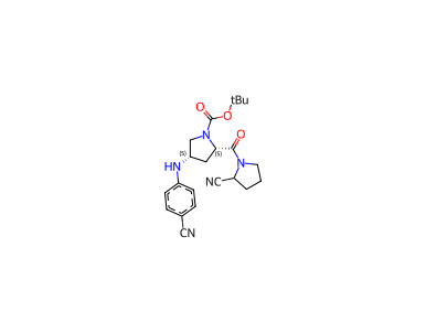 CC(C)(C)OC(=O)N1C[C@@H](Nc2ccc(C#N)cc2)C[C@H]1C(=O)N1CCCC1C#N